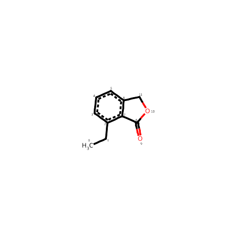 CCc1cccc2c1C(=O)OC2